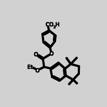 CCOC(C(=O)Oc1ccc(C(=O)O)cc1)c1ccc2c(c1)C(C)(C)CCC2(C)C